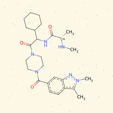 CN[C@@H](C)C(=O)NC(C(=O)N1CCN(C(=O)c2ccc3c(C)n(C)nc3c2)CC1)C1CCCCC1